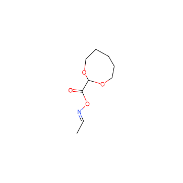 CC=NOC(=O)C1OCCCCCO1